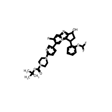 CC(C)(C)OC(=O)N1CCN(c2ccc(-c3cn4c5c(nc4cc3F)C(O)CC5c3ccccc3OC(F)F)cn2)CC1